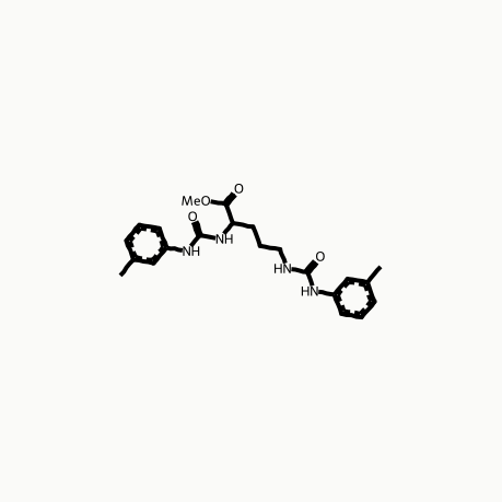 COC(=O)C(CCCNC(=O)Nc1cccc(C)c1)NC(=O)Nc1cccc(C)c1